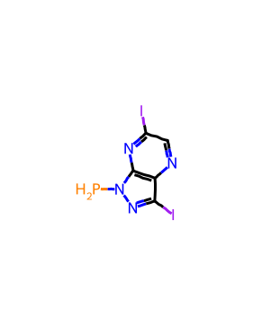 Pn1nc(I)c2ncc(I)nc21